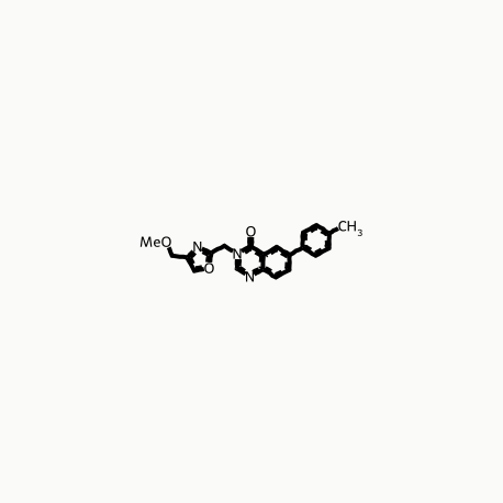 COCc1coc(Cn2cnc3ccc(-c4ccc(C)cc4)cc3c2=O)n1